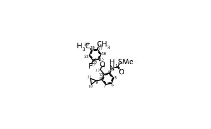 CSC(=O)Nc1cccc(C2CC2)c1COc1cc(C)c(C)cc1F